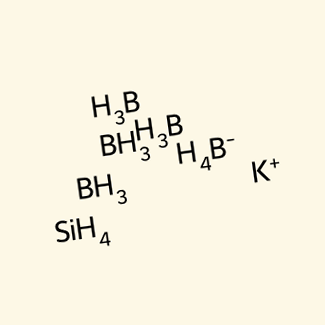 B.B.B.B.[BH4-].[K+].[SiH4]